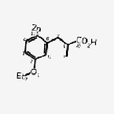 CCOc1cccc(CC(C)C(=O)O)c1.[Zn]